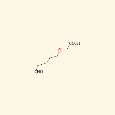 CCOC(=O)COCCCCC=O